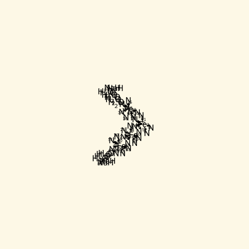 N#[C][Fe]([C]#N)([C]#N)([C]#N)([C]#N)[C]#N.N#[C][Fe]([C]#N)([C]#N)([C]#N)([C]#N)[C]#N.N#[C][Fe]([C]#N)([C]#N)([C]#N)([C]#N)[C]#N.N#[C][Fe]([C]#N)([C]#N)([C]#N)([C]#N)[C]#N.O.O.O.O.O.O.O.O.O.O.[NaH].[NaH].[NaH].[NaH]